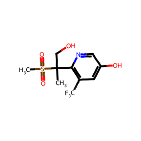 CC(CO)(c1ncc(O)cc1C(F)(F)F)S(C)(=O)=O